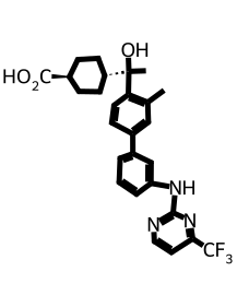 Cc1cc(-c2cccc(Nc3nccc(C(F)(F)F)n3)c2)ccc1C(C)(O)[C@H]1CC[C@H](C(=O)O)CC1